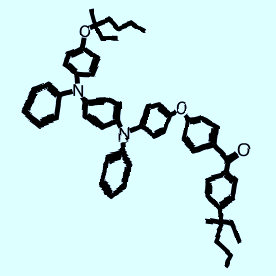 CCCCC(C)(CC)Oc1ccc(N(c2ccccc2)c2ccc(N(c3ccccc3)c3ccc(Oc4ccc(C(=O)c5ccc(C(C)(CC)CCC)cc5)cc4)cc3)cc2)cc1